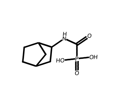 O=C(NC1CC2CCC1C2)P(=O)(O)O